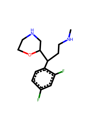 CNCCC(c1ccc(F)cc1F)C1CNCCO1